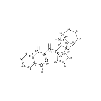 COc1ccccc1NC(=O)NCC1NC2CCCC(O1)C(C1CN=CS1)C2